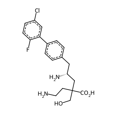 NCCC(CO)(C[C@H](N)Cc1ccc(-c2cc(Cl)ccc2F)cc1)C(=O)O